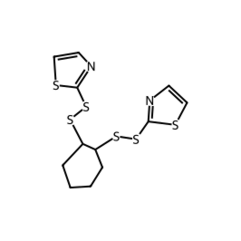 c1csc(SSC2CCCCC2SSc2nccs2)n1